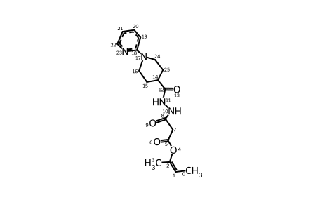 C/C=C(/C)OC(=O)CC(=O)NNC(=O)C1CCN(c2ccccn2)CC1